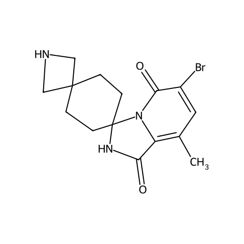 Cc1cc(Br)c(=O)n2c1C(=O)NC21CCC2(CC1)CNC2